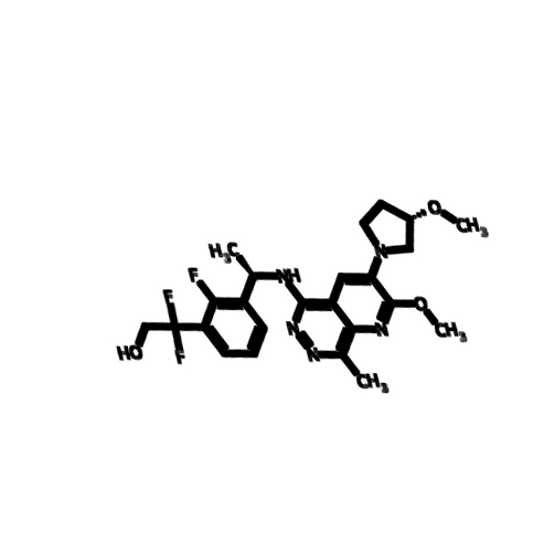 COc1nc2c(C)nnc(N[C@H](C)c3cccc(C(F)(F)CO)c3F)c2cc1N1CC[C@H](OC)C1